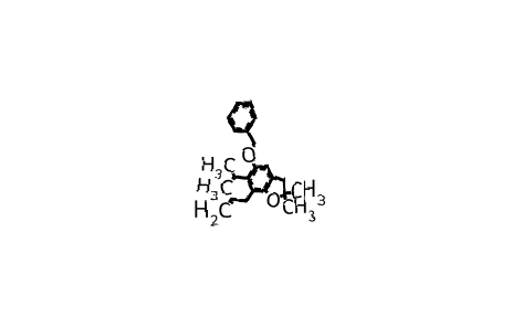 C=CCc1c2c(cc(OCc3ccccc3)c1C(C)C)CC(C)(C)O2